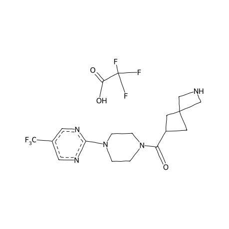 O=C(C1CC2(CNC2)C1)N1CCN(c2ncc(C(F)(F)F)cn2)CC1.O=C(O)C(F)(F)F